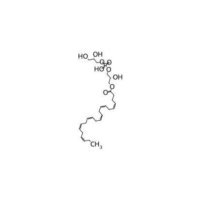 CC/C=C\C/C=C\C/C=C\C/C=C\C/C=C\C/C=C\CCC(=O)OC[C@@H](O)COP(=O)(O)OC[C@@H](O)CO